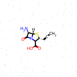 C=C=C[C@H]1S[C@H]2[C@H](N)C(=O)N2C1C(=O)O